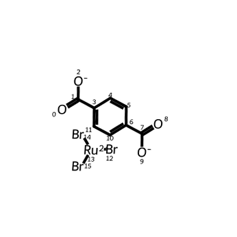 O=C([O-])c1ccc(C(=O)[O-])cc1.[Br][Ru+2]([Br])[Br]